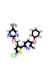 Cc1nc(-c2sc(Cl)cc2COc2ncc(C(C)C)cn2)ccc1OC1CCCCC1